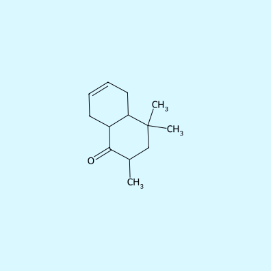 CC1CC(C)(C)C2CC=CCC2C1=O